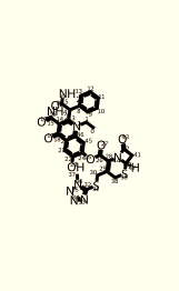 CCn1c(C(C(N)=O)c2ccccc2)c(C(N)=O)c(=O)c2cc(O)c(OC(=O)C3=C(CSc4nnnn4C)CS[C@H]4CC(=O)N34)cc21